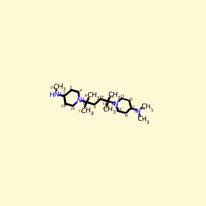 CNC1CCN(C(C)(C)CCC(C)(C)N2CCC(N(C)C)CC2)CC1